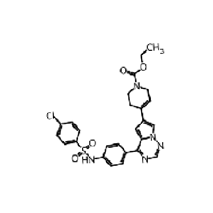 CCOC(=O)N1CC=C(c2cc3c(-c4ccc(NS(=O)(=O)c5ccc(Cl)cc5)cc4)ncnn3c2)CC1